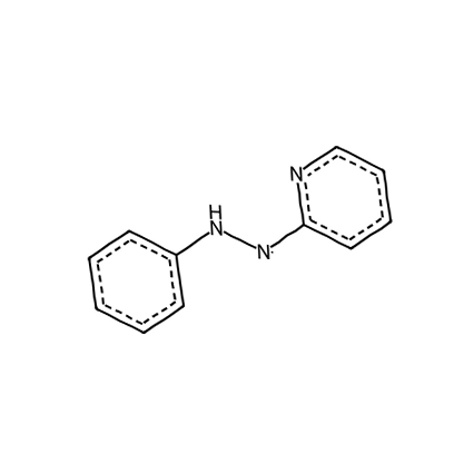 c1ccc(N[N]c2ccccn2)cc1